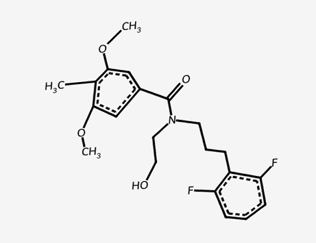 COc1cc(C(=O)N(CCO)CCCc2c(F)cccc2F)cc(OC)c1C